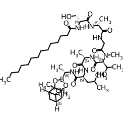 CCCCCCCCCCCCCC(=O)N[C@H](CO)C(=O)N[C@H](C)C(=O)NCC(=O)N(C)[C@H](C(=O)N[C@@H](C)C(=O)N[C@@H](CC(C)C)C(=O)N[C@@H](C)B1OC2C[C@@H]3C[C@@H](C3(C)C)[C@]2(C)O1)C(C)O